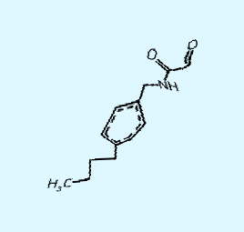 CCCCc1ccc(CNC(=O)C=O)cc1